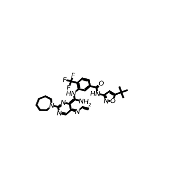 C=C/N=C1/C=NC(N2CCCCCC2)=N/C1=C(/N)Nc1cc(C(=O)Nc2cc(C(C)(C)C)on2)ccc1C(F)(F)F